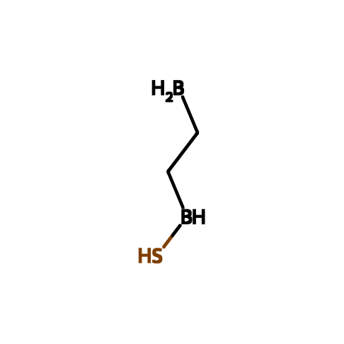 BCCBS